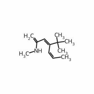 C=C(/C=C(\C=C/C)C(C)(C)C)NC